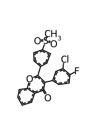 CS(=O)(=O)c1ccc(-c2oc3ccccc3c(=O)c2-c2ccc(F)c(Cl)c2)cc1